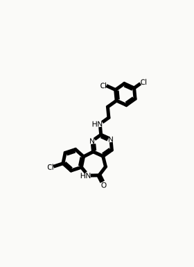 O=C1Cc2cnc(NCCc3ccc(Cl)cc3Cl)nc2-c2ccc(Cl)cc2N1